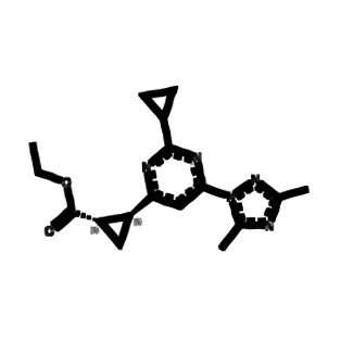 CCOC(=O)[C@H]1C[C@@H]1c1cc(-n2nc(C)nc2C)nc(C2CC2)n1